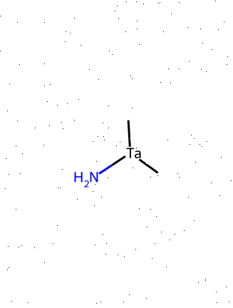 [CH3][Ta]([CH3])[NH2]